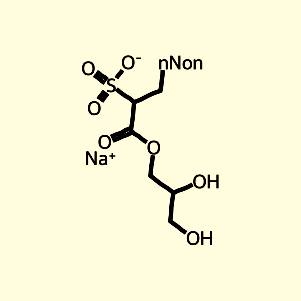 CCCCCCCCCCC(C(=O)OCC(O)CO)S(=O)(=O)[O-].[Na+]